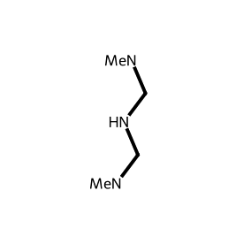 CNCNCNC